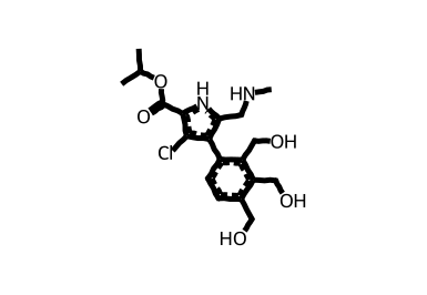 CNCc1[nH]c(C(=O)OC(C)C)c(Cl)c1-c1ccc(CO)c(CO)c1CO